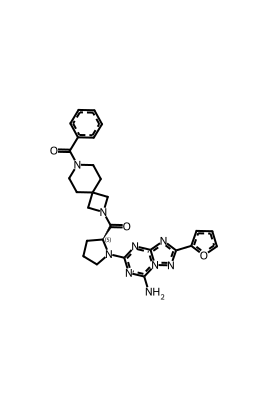 Nc1nc(N2CCC[C@H]2C(=O)N2CC3(CCN(C(=O)c4ccccc4)CC3)C2)nc2nc(-c3ccco3)nn12